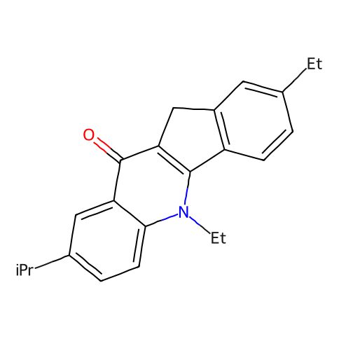 CCc1ccc2c(c1)Cc1c-2n(CC)c2ccc(C(C)C)cc2c1=O